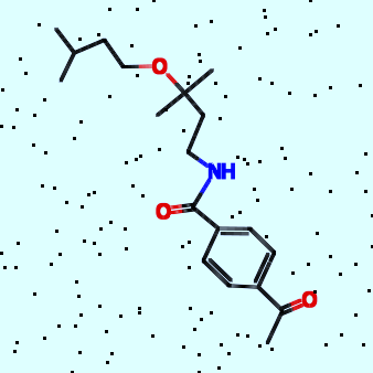 CC(=O)c1ccc(C(=O)NCCC(C)(C)OCCC(C)C)cc1